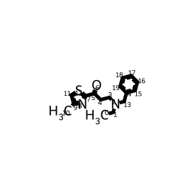 CCN(CCC(=O)c1nc(C)cs1)Cc1ccccc1